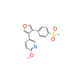 COc1ccc(-c2cocc2-c2ccc(S(C)(=O)=O)cc2)cn1